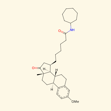 COc1ccc2c(c1)CC[C@H]1[C@@H]3[C@H](CCCCCC(=O)NC4CCCCCC4)CC(=O)[C@@]3(C)CC[C@H]21